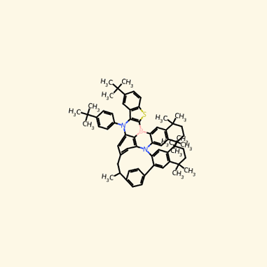 CC1Cc2cc3c4c(c2)N(c2ccc(C(C)(C)C)cc2)c2c(sc5ccc(C(C)(C)C)cc25)B4c2cc4c(cc2N3c2cc3c(cc2-c2ccc1cc2)C(C)(C)CCC3(C)C)C(C)(C)CCC4(C)C